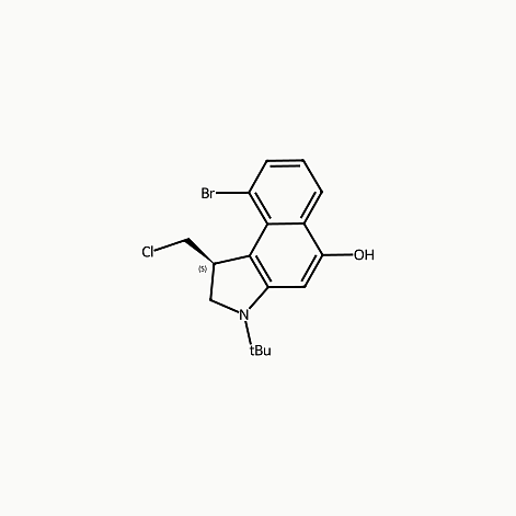 CC(C)(C)N1C[C@@H](CCl)c2c1cc(O)c1cccc(Br)c21